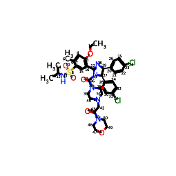 CCOc1cc(C)c(S(=O)(=O)NC(C)C)cc1C1=N[C@@H](c2ccc(Cl)cc2)[C@@H](c2ccc(Cl)cc2)N1C(=O)N1CCN(CC(=O)N2CCOCC2)CC1